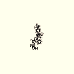 CC1=C[SH](CC(=O)O)C=C1OC(c1ccccc1)c1nn(-c2ccc(C(F)(F)F)cc2)c(=O)n1C